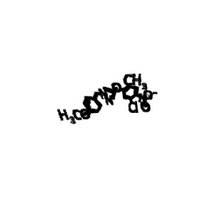 COc1ccc(Cn2cc(Oc3cc(Cl)c([N+](=O)[O-])cc3C)cn2)cc1